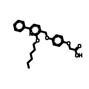 CCCCCCOc1nc(-c2ccccc2)ccc1COc1ccc(OCC(=O)O)cc1